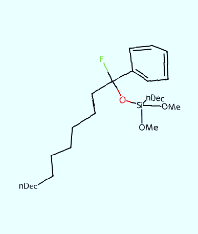 CCCCCCCCCCCCCCCCC(F)(O[Si](CCCCCCCCCC)(OC)OC)c1ccccc1